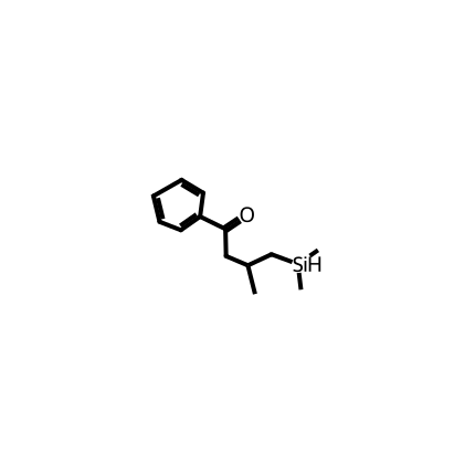 CC(CC(=O)c1ccccc1)C[SiH](C)C